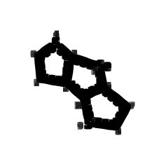 c1cc2c(s1)[se]c1ccsc12